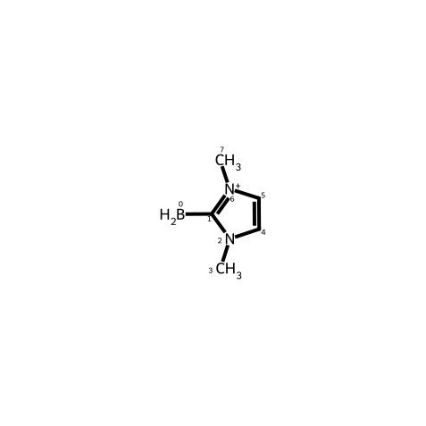 Bc1n(C)cc[n+]1C